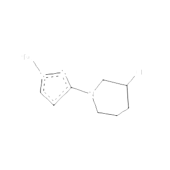 CC1CCCN(c2ccn(C(C)(C)C)n2)C1